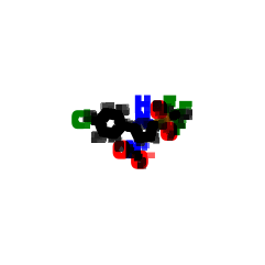 O=[N+]([O-])c1cc(S(=O)(=O)C(F)(F)F)[nH]c1-c1ccc(Cl)cc1